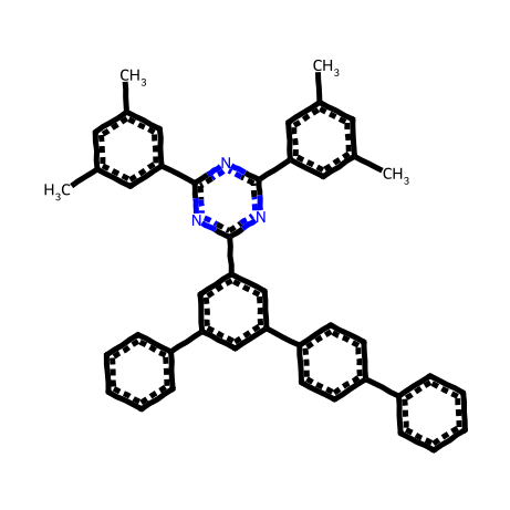 Cc1cc(C)cc(-c2nc(-c3cc(C)cc(C)c3)nc(-c3cc(-c4ccccc4)cc(-c4ccc(-c5ccccc5)cc4)c3)n2)c1